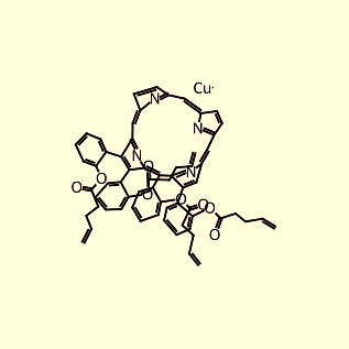 C=CCCC(=O)Oc1ccccc1C1=CC2=CC3=NC(=CC4=NC(=CC5=NC(=C(c6ccccc6OC(=O)CCC=C)C1=N2)C(c1ccccc1OC(=O)CCC=C)=C5c1ccccc1OC(=O)CCC=C)C=C4)C=C3.[Cu]